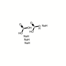 O=S(O)O.O=S(O)O.[NaH].[NaH].[NaH].[NaH]